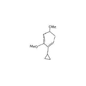 COC1=CC(OC)CC=C1C1CC1